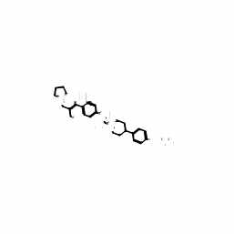 COc1ccc(C2CCN(C(=O)Nc3ccc4c(c3)OCC(CN3CCCC3)=C4C)CC2)cc1